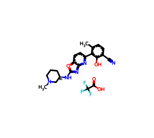 Cc1ccc(C#N)c(O)c1-c1ccc2oc(N[C@@H]3CCCN(C)C3)nc2n1.O=C(O)C(F)(F)F